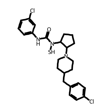 O=C(Nc1cccc(Cl)c1)N(S)C1CCCC1N1CCC(Cc2ccc(Cl)cc2)CC1